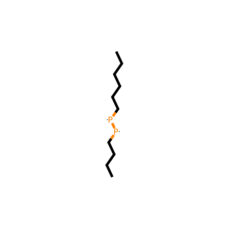 CCCCCC[P][P]CCCC